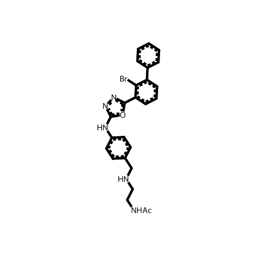 CC(=O)NCCNCc1ccc(Nc2nnc(-c3cccc(-c4ccccc4)c3Br)o2)cc1